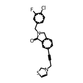 O=C1c2cc(C#CCN3C=CSC3)ccc2CN1Cc1ccc(Cl)c(F)c1